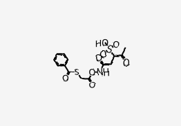 CC(=O)C(CC(=O)NOC(=O)CSC(=O)c1ccccc1)S(=O)(=O)O